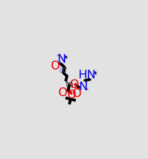 CNCCN(C)C(=O)O[C@@H](CC/C=C/C(=O)N(C)C)C(=O)OC(C)(C)C